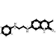 Cc1cc2ccc(NCCNc3ccccc3)cc2oc1=O